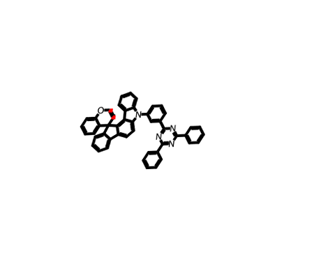 c1ccc(-c2nc(-c3ccccc3)nc(-c3cccc(-n4c5ccccc5c5c6c(ccc54)-c4ccccc4C64c5ccccc5Oc5ccccc54)c3)n2)cc1